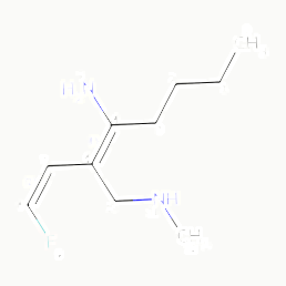 CCCC/C(N)=C(/C=C\F)CNC